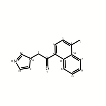 Cc1ccc(C(=O)Cn2ccnc2)c2ccccc12